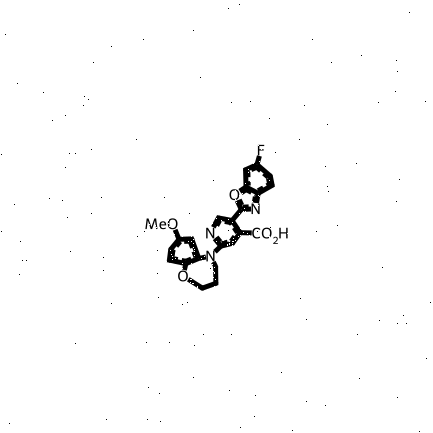 COc1ccc2c(c1)N(c1cc(C(=O)O)c(-c3nc4ccc(F)cc4o3)cn1)CCCO2